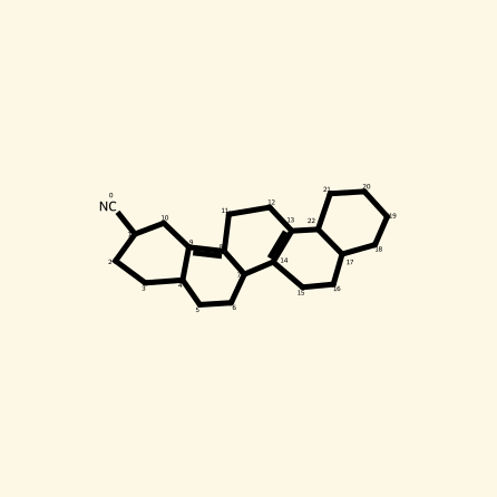 N#CC1CCC2CCC3C(=C2C1)CCC1=C3CCC2CCCCC12